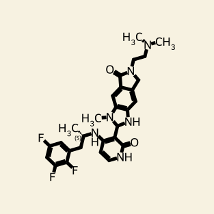 C[C@@H](Cc1cc(F)cc(F)c1F)Nc1cc[nH]c(=O)c1C1Nc2cc3c(cc2N1C)C(=O)N(CCN(C)C)C3